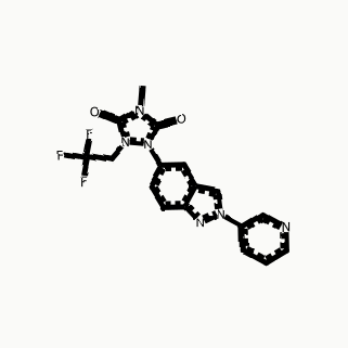 Cn1c(=O)n(CC(F)(F)F)n(-c2ccc3nn(-c4cccnc4)cc3c2)c1=O